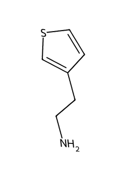 NCCc1ccsc1